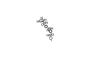 CC1CCC(NC(=O)c2ccc3[nH]c(-c4ccc(C(=O)NC5C6C[C@H]7C[C@@H](C6)C[C@@H]5C7)cc4)nc3c2)CC1